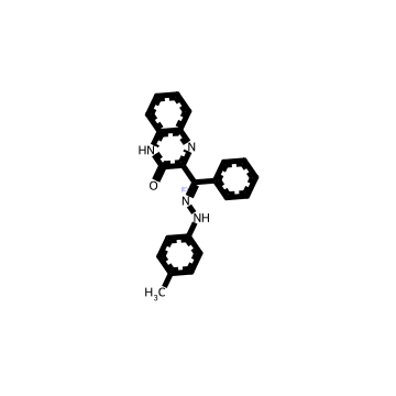 Cc1ccc(N/N=C(\c2ccccc2)c2nc3ccccc3[nH]c2=O)cc1